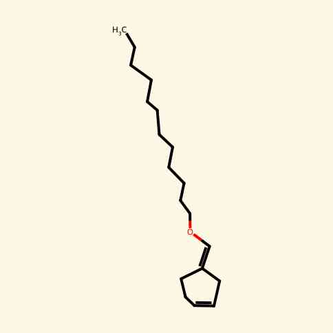 CCCCCCCCCCCCO/C=C1/CC=CCC1